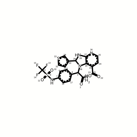 NC(=O)C(c1ccc(NS(=O)(=O)C(F)(F)F)cc1)N1c2c(C(=O)O)ccnc2NC1c1ccsc1